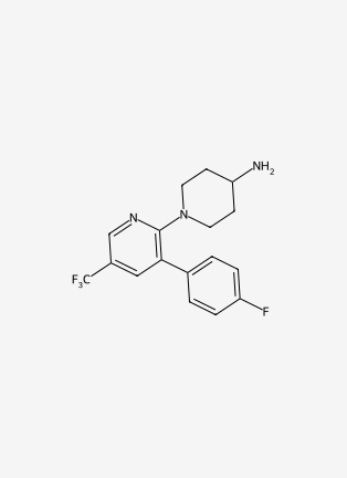 NC1CCN(c2ncc(C(F)(F)F)cc2-c2ccc(F)cc2)CC1